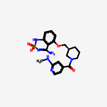 CNc1cc(C(=O)N2CCC[C@H](COc3cccc4c3C(N)=NS(=O)(=O)N4)C2)ccn1